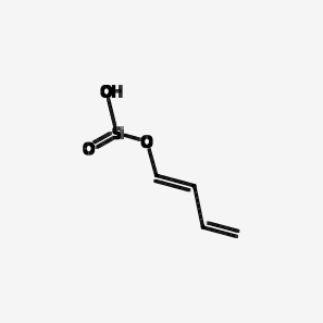 C=CC=CO[Si](=O)O